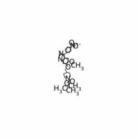 COc1cc2c(-c3ccc([N+](=O)[O-])cc3)ncnc2cc1OCC1CCN(C(=O)OC(C)(C)C)CC1